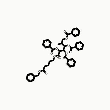 CC(COC(=O)c1ccccc1)C(OC(=O)c1ccccc1)C(OC(=O)c1ccccc1)C(OC(=O)c1ccccc1)C(O)OCCCCC(=O)OCc1ccccc1